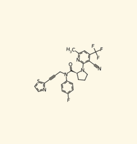 Cc1cc(C(F)(F)F)c(C#N)c(N2CCC[C@H]2C(=O)N(CC#Cc2nccs2)c2ccc(F)cc2)n1